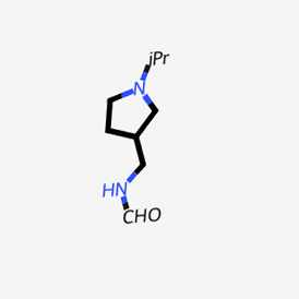 CC(C)N1CCC(CNC=O)C1